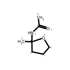 CC(=O)NC1(C)CCCO1